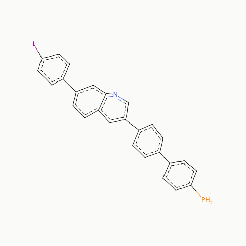 Pc1ccc(-c2ccc(-c3cnc4cc(-c5ccc(I)cc5)ccc4c3)cc2)cc1